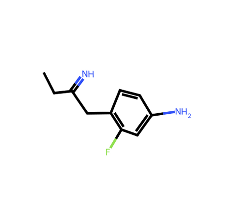 CCC(=N)Cc1ccc(N)cc1F